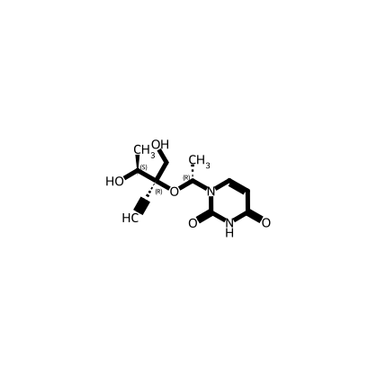 C#C[C@](CO)(O[C@H](C)n1ccc(=O)[nH]c1=O)[C@H](C)O